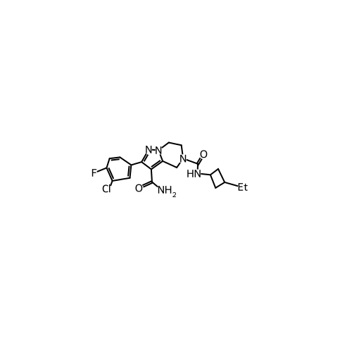 CCC1CC(NC(=O)N2CCn3nc(-c4ccc(F)c(Cl)c4)c(C(N)=O)c3C2)C1